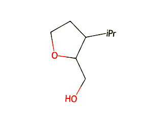 CC(C)C1CCOC1CO